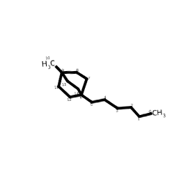 CCCCCCC12CCC(C)(CC1)CC2